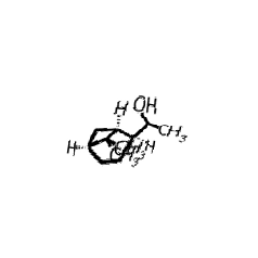 CC(O)[C@H]1CC[C@H]2C[C@@H]1C2(C)C